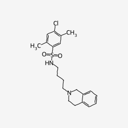 Cc1cc(S(=O)(=O)NCCCCN2CCc3ccccc3C2)c(C)cc1Cl